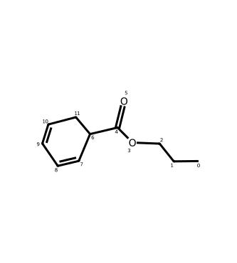 CCCOC(=O)C1C=CC=CC1